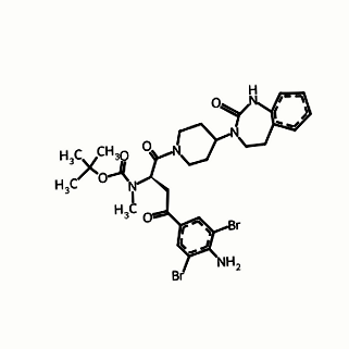 CN(C(=O)OC(C)(C)C)[C@H](CC(=O)c1cc(Br)c(N)c(Br)c1)C(=O)N1CCC(N2CCc3ccccc3NC2=O)CC1